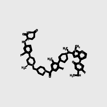 CNc1cc(=O)n(-c2ccnc3c2cc([C@H](C)N2CC=C(c4c(C)cc(C(=O)N5CCC(CN6CCN(c7ccc(N[C@@H]8CCC(=O)NC8=O)cc7F)C[C@H]6C)CC5)cc4F)CC2)n3C)cc1F